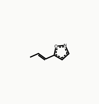 CC=Cc1ccno1